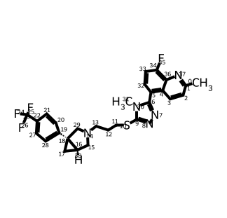 Cc1ccc2c(-c3nnc(SCCCN4C[C@@H]5C[C@@]5(c5ccc(C(F)(F)F)cc5)C4)n3C)ccc(F)c2n1